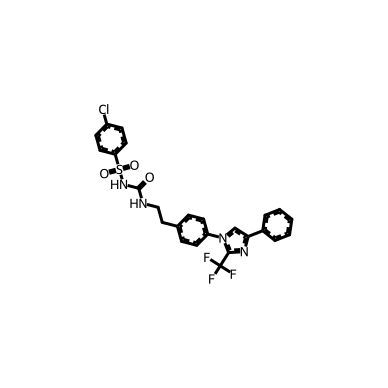 O=C(NCCc1ccc(-n2cc(-c3ccccc3)nc2C(F)(F)F)cc1)NS(=O)(=O)c1ccc(Cl)cc1